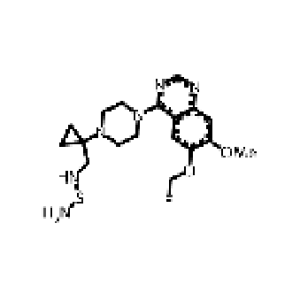 COc1cc2ncnc(N3CCN(C4(CNSN)CC4)CC3)c2cc1OCF